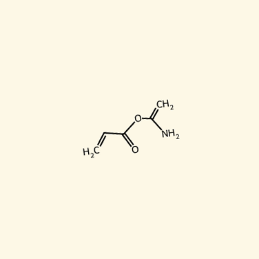 C=CC(=O)OC(=C)N